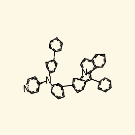 c1ccc(-c2ccc(N(c3ccncc3)c3cccc(-c4ccc5c(-c6ccccc6)c6c7ccccc7ccn6c5c4)c3)cc2)cc1